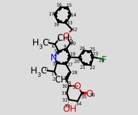 CC(C)c1nc(C(C)C)c(COCc2ccccc2)c(-c2ccc(F)cc2)c1/C=C/[C@@H]1C[C@@H](O)CC(=O)O1